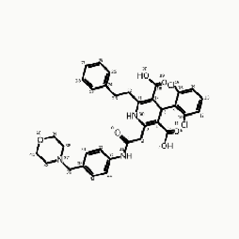 O=C(CC1=C(C(=O)O)C(c2c(Cl)cccc2Cl)C(C(=O)O)=C(CCc2ccccc2)N1)Nc1ccc(CN2CCOCC2)cc1